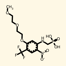 COCCOCCOc1cc(NCP(=O)(O)O)c([N+](=O)[O-])cc1C(F)(F)F